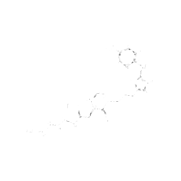 C=C(/C=C(\N=C/C)C(=O)CCCCc1cnc(Nc2ccc(C(F)(F)F)cc2)s1)CCCCOCCC